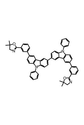 CC1(C)CN=C(c2cccc(-c3ccc4c(c3)c3cc(-c5ccc6c(c5)c5cc(-c7cccc(C8=NCC(C)(C)O8)c7)ccc5n6-c5ccccc5)ccc3n4-c3ccccc3)c2)O1